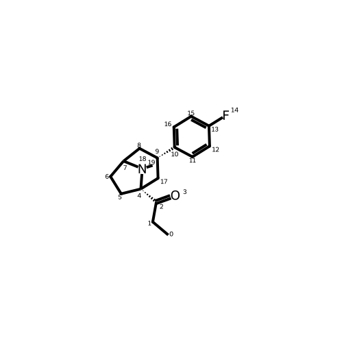 CCC(=O)[C@@]12CCC(C[C@H](c3ccc(F)cc3)C1)N2C